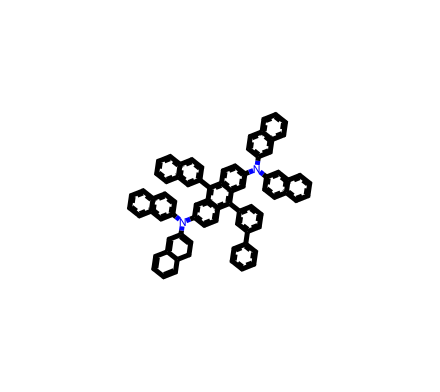 C1=CC2=CC(N(c3ccc4ccccc4c3)c3ccc4c(-c5cccc(-c6ccccc6)c5)c5cc(N(c6ccc7ccccc7c6)c6ccc7ccccc7c6)ccc5c(-c5ccc6ccccc6c5)c4c3)=CCC2C=C1